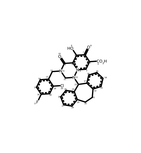 O=C(O)c1cn2c(c(O)c1=O)C(=O)N(Cc1ccc(F)cc1Cl)CN2C1c2ccccc2CCc2ccccc21